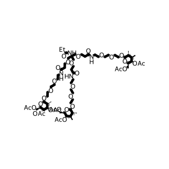 CCC(=O)NC(COCCC(=O)NCCOCCOCCO[C@@H]1O[C@H](COC(C)=O)[C@H](OC(C)=O)[C@H](C)[C@H]1C)(COCCC(=O)NCCOCCOCCO[C@@H]1O[C@H](COC(C)=O)[C@H](OC(C)=O)[C@H](C)[C@H]1C)COCCC(=O)NCCOCCOCCO[C@@H]1O[C@H](COC(C)=O)[C@H](OC(C)=O)[C@H](OC(C)=O)[C@H]1C